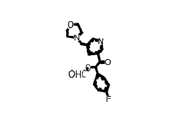 O=COC(C(=O)c1cncc(CN2CCOCC2)c1)c1ccc(F)cc1